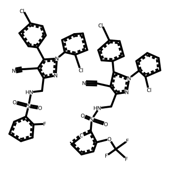 N#Cc1c(CNS(=O)(=O)c2ccccc2F)nn(-c2ccccc2Cl)c1-c1ccc(Cl)cc1.N#Cc1c(CNS(=O)(=O)c2ccccc2OC(F)(F)F)nn(-c2ccccc2Cl)c1-c1ccc(Cl)cc1